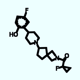 O=C(N1CC2(CCC(N3CCC(c4cc(F)ccc4O)CC3)C2)C1)C1(F)CC1